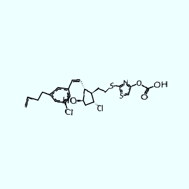 C=CCCc1cc(Cl)cc(/C=C\[C@@H]2[C@@H](CCSc3nc(OC(=O)O)cs3)[C@H](Cl)C[C@H]2O)c1